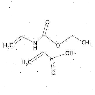 C=CC(=O)O.C=CNC(=O)OCC